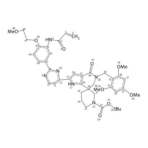 C=CC(=O)Nc1cc(-c2nccc(-c3cc4c([nH]3)C3(CCCN(C(=O)OC(C)(C)C)C3)CN(Cc3c(OC)cc(OC)cc3OC)C4=O)n2)ccc1OCCOC